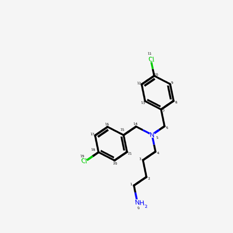 NCCCCN(Cc1ccc(Cl)cc1)Cc1ccc(Cl)cc1